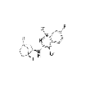 [O-][n+]1nc(N[C@@H]2C[C@@H]3CC[C@@H]2C3)[n+]([O-])c2ccc(F)cc21